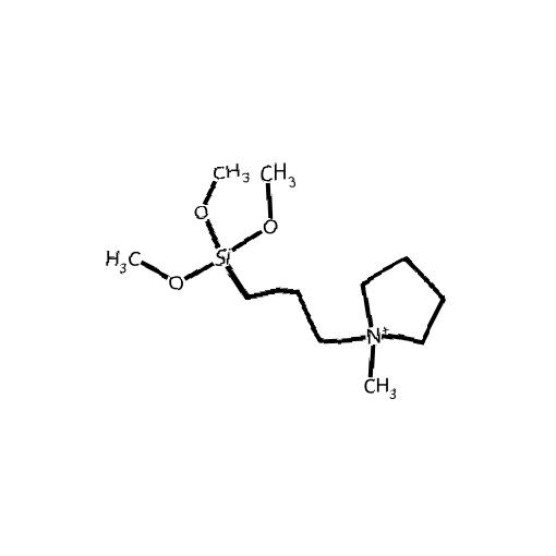 CO[Si](CCC[N+]1(C)CCCC1)(OC)OC